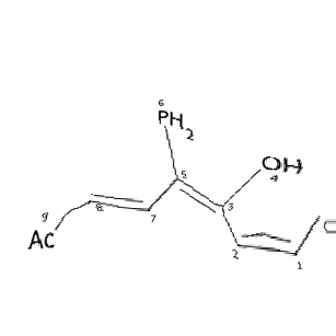 C\C=C/C(O)=C(P)\C=C\C(C)=O